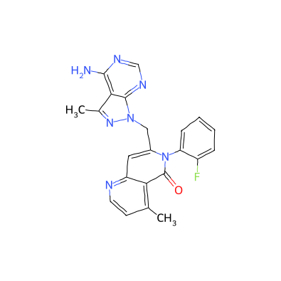 Cc1nn(Cc2cc3nccc(C)c3c(=O)n2-c2ccccc2F)c2ncnc(N)c12